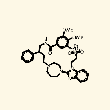 CCS(=O)(=O)CCn1c(N2CCCN(CCC(CN(C)C(=O)c3cc(OC)c(OC)c(OC)c3)c3ccccc3)CC2)nc2ccccc21